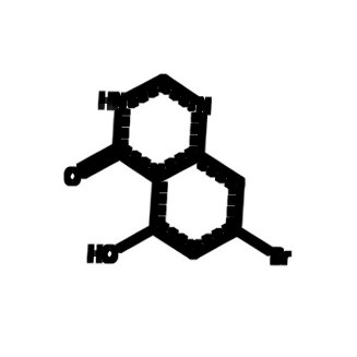 O=c1[nH]cnc2cc(Br)cc(O)c12